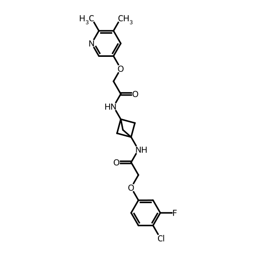 Cc1cc(OCC(=O)NC23CC(NC(=O)COc4ccc(Cl)c(F)c4)(C2)C3)cnc1C